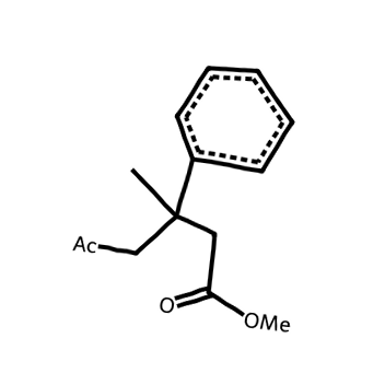 COC(=O)CC(C)(CC(C)=O)c1ccccc1